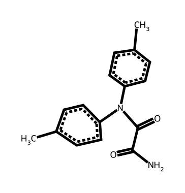 Cc1ccc(N(C(=O)C(N)=O)c2ccc(C)cc2)cc1